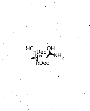 CC(N)O.CCCCCCCCCC[N+](C)(C)CCCCCCCCCC.Cl